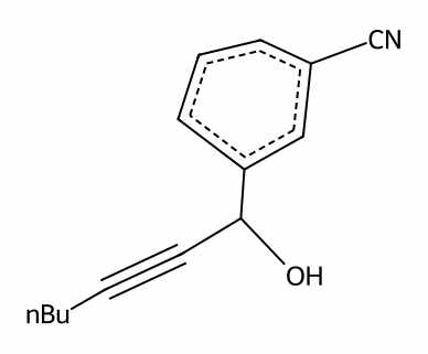 CCCCC#CC(O)c1cccc(C#N)c1